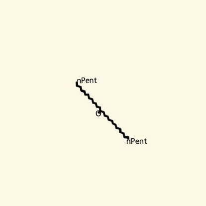 CCCCCC=CCC=CCCCCCCCCC(=O)CCCCCCCCC=CC/C=C\CCCCC